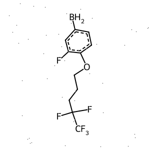 Bc1ccc(OCCCC(F)(F)C(F)(F)F)c(F)c1